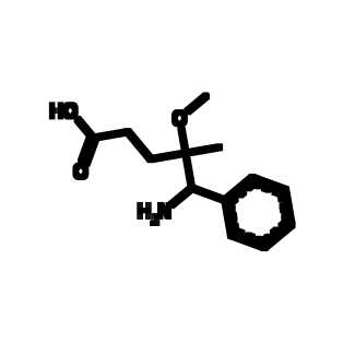 COC(C)(CCC(=O)O)C(N)c1ccccc1